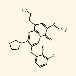 O=C(O)Oc1cn(CCO)c2cc(N3CCCC3)c(Cc3cccc(Cl)c3F)cc2c1=O